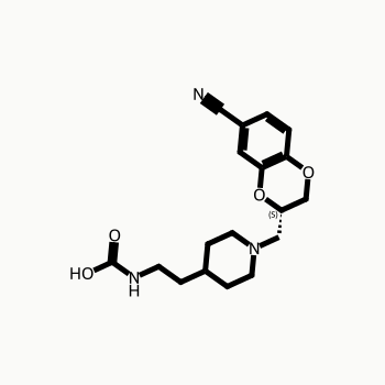 N#Cc1ccc2c(c1)O[C@@H](CN1CCC(CCNC(=O)O)CC1)CO2